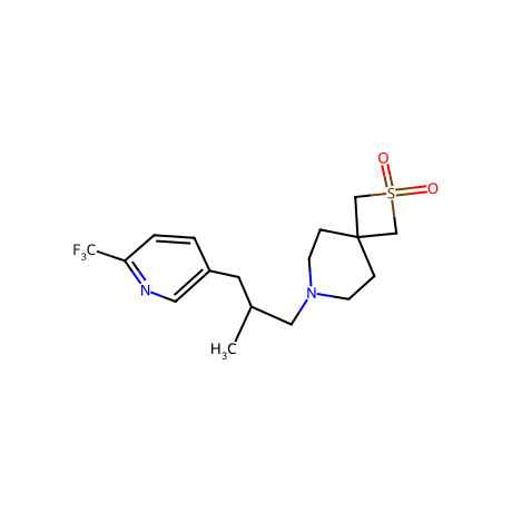 CC(Cc1ccc(C(F)(F)F)nc1)CN1CCC2(CC1)CS(=O)(=O)C2